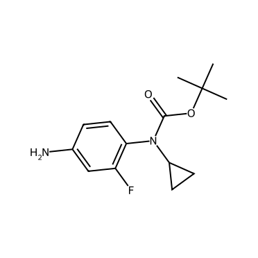 CC(C)(C)OC(=O)N(c1ccc(N)cc1F)C1CC1